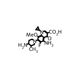 COc1c(N2CCC(N)C(C)C2)c(F)c(N)c2c(=O)c(C(=O)O)cn(C3CC3)c12